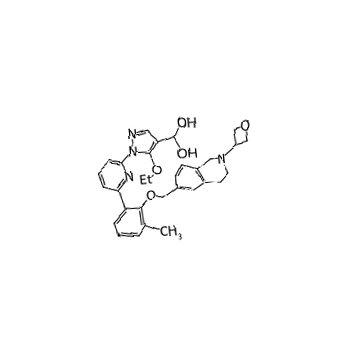 CCOc1c(C(O)O)cnn1-c1cccc(-c2cccc(C)c2OCc2ccc3c(c2)CCN(C2COC2)C3)n1